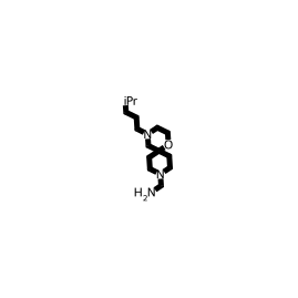 CC(C)CCCN1CCOC2(CCN(CN)CC2)C1